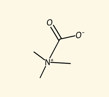 C[N+](C)(C)C(=O)[O-]